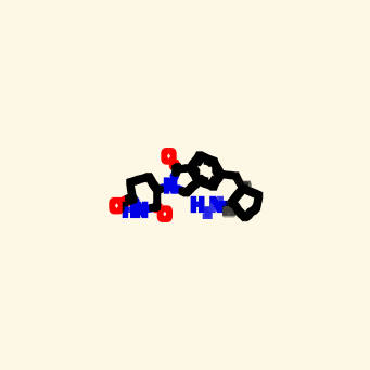 N[C@H]1CCC[C@@H]1Cc1ccc2c(c1)CN(C1CCC(=O)NC1=O)C2=O